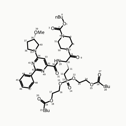 CCCCOC(=O)N1CCN(C(=O)[C@H](CCP(=O)(OCCOC(=O)C(C)(C)C)OCCOC(=O)C(C)(C)C)NC(=O)c2cc(N3CC[C@H](OC)C3)nc(-c3ccccc3)n2)CC1